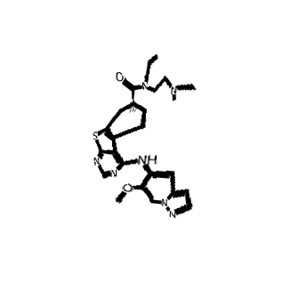 CCN(CCN(C)C)C(=O)[C@H]1CCc2c(sc3ncnc(Nc4cc5ccnn5cc4OC)c23)C1